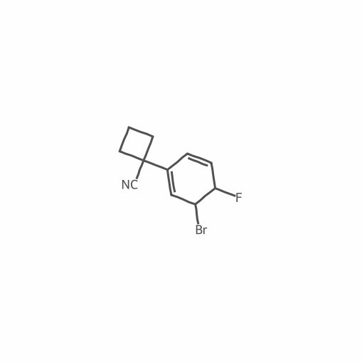 N#CC1(C2=CC(Br)C(F)C=C2)CCC1